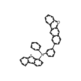 c1ccc(N(c2cccc(-c3ccc4cc5oc6ccccc6c5cc4c3)c2)c2cccc3c2sc2ccccc23)cc1